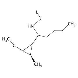 CCCCC(NCI)C1C(CC)[C@@H]1C